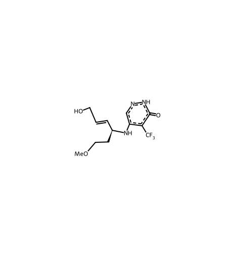 COCC[C@@H](/C=C/CO)Nc1cn[nH]c(=O)c1C(F)(F)F